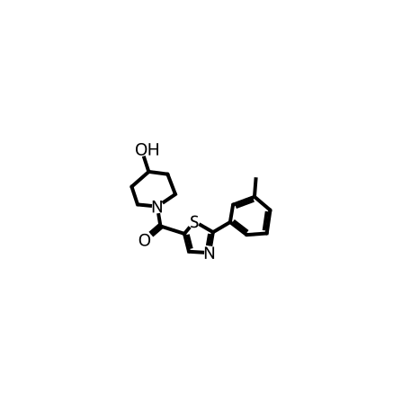 Cc1cccc(-c2ncc(C(=O)N3CCC(O)CC3)s2)c1